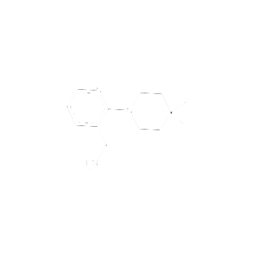 NCc1cccnc1N1CCC(F)(F)CC1